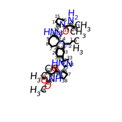 CC/C=C(\C=C1/CCCCc2[nH]c([C@@H]3CCCN3C(=O)[C@@H](N)C(C)C)nc21)c1cccc(C2CN=C([C@@H]3CCCN3C(=O)[C@@H](NC(=O)OC)C(C)C)N2)c1